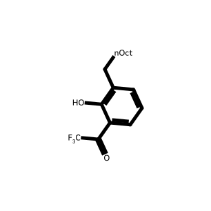 CCCCCCCCCc1cccc(C(=O)C(F)(F)F)c1O